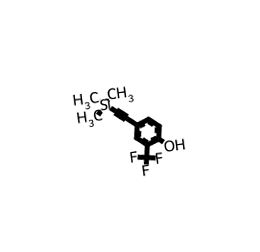 C[Si](C)(C)C#Cc1ccc(O)c(C(F)(F)F)c1